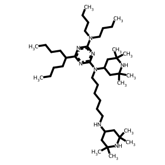 CCCCC(CCCC)c1nc(N(CCCC)CCCC)nc(N(CCCCCCNC2CC(C)(C)NC(C)(C)C2)C2CC(C)(C)NC(C)(C)C2)n1